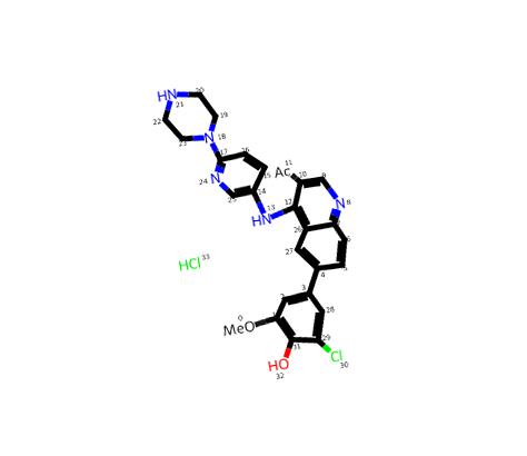 COc1cc(-c2ccc3ncc(C(C)=O)c(Nc4ccc(N5CCNCC5)nc4)c3c2)cc(Cl)c1O.Cl